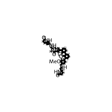 COc1nc(-c2cccc(-c3cccc(-c4cc5c(=O)n(C)c(CNC6CC7(CCC(=O)N7)C6)nn5c4)c3Cl)c2Cl)ccc1CNC[C@]1(C)CCC(=O)N1